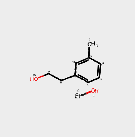 CCO.Cc1cccc(CCO)c1